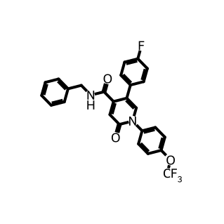 O=C(NCc1ccccc1)c1cc(=O)n(-c2ccc(OC(F)(F)F)cc2)cc1-c1ccc(F)cc1